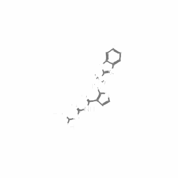 CC(C)OC(=O)NC(=O)c1ccsc1NS(=O)(=O)c1nc2ccccc2s1